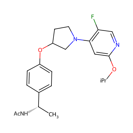 CC(=O)N[C@@H](C)c1ccc(OC2CCN(c3cc(OC(C)C)ncc3F)C2)cc1